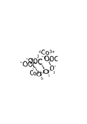 O=C([O-])[O-].O=C([O-])[O-].O=C([O-])[O-].[Co+3].[Co+3]